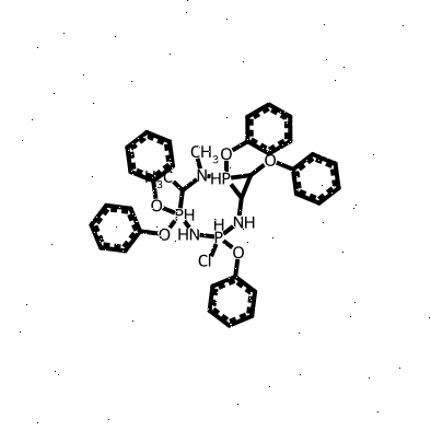 CC1N(C)[PH]2(Oc3ccccc3)C(N[PH](Cl)(Oc3ccccc3)N[PH]1(Oc1ccccc1)Oc1ccccc1)C2Oc1ccccc1